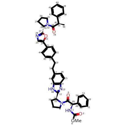 COC(=O)N[C@@H](C(=O)N1CCC[C@H]1c1nc2ccc(CCc3ccc(-c4cnc([C@@H]5CCCN5C(=O)[C@H](C)c5ccccc5)o4)cc3)cc2[nH]1)c1ccccc1